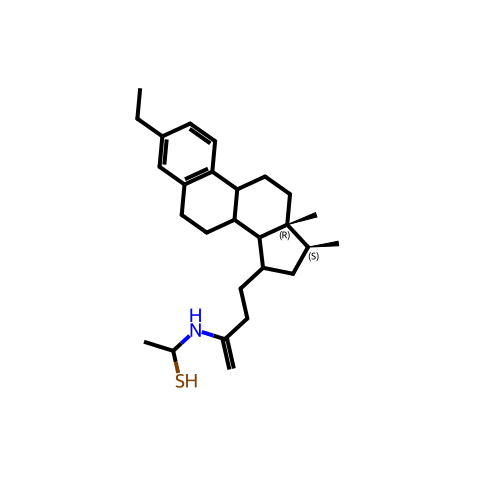 C=C(CCC1C[C@H](C)[C@@]2(C)CCC3c4ccc(CC)cc4CCC3C12)NC(C)S